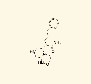 NC(=O)C(CCCc1ccccc1)C1CNCC2NOCCN21